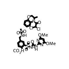 CC1COc2ccccc2N1C(=O)C(Cl)Cl.COc1cc(OC)nc(NC(=O)NS(=O)(=O)c2cc(CNS(C)(=O)=O)ccc2C(=O)O)n1